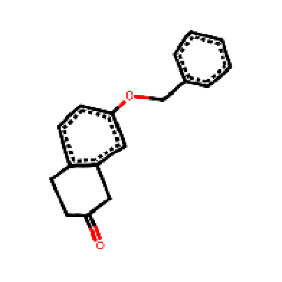 O=C1CCc2ccc(OCc3ccccc3)cc2C1